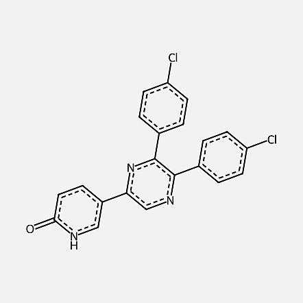 O=c1ccc(-c2cnc(-c3ccc(Cl)cc3)c(-c3ccc(Cl)cc3)n2)c[nH]1